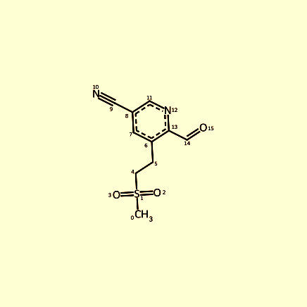 CS(=O)(=O)CCc1cc(C#N)cnc1C=O